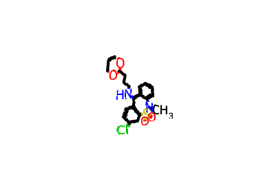 CN1c2ccccc2C(NCCCC2OCCCO2)c2ccc(Cl)cc2S1(=O)=O